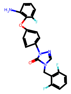 Nc1cccc(F)c1Oc1ccc(-n2ncn(Cc3c(F)cccc3F)c2=O)cc1